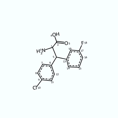 NC(C(=O)O)C(c1ccc(Cl)cc1)c1cccc(F)c1